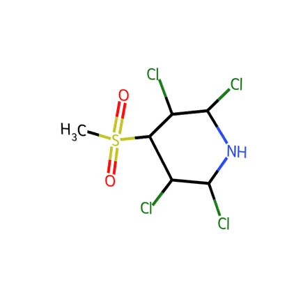 CS(=O)(=O)C1C(Cl)C(Cl)NC(Cl)C1Cl